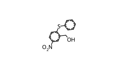 O=[N+]([O-])c1ccc(Sc2ccccc2)c(CO)c1